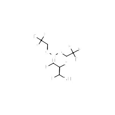 NC(F)C(F)C(F)[SiH](OCC(F)(F)F)OCC(F)(F)F